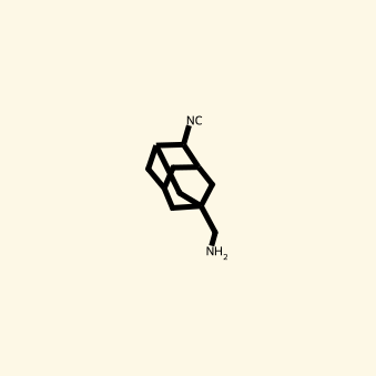 [C-]#[N+]C1C2CC3CC1CC(CN)(C3)C2